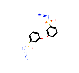 [N-]=[N+]=NS(=O)(=O)c1cccc(Oc2cccc(S(=O)(=O)N=[N+]=[N-])c2)c1